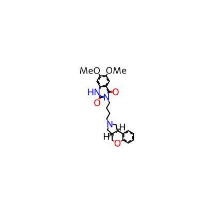 COc1cc2[nH]c(=O)n(CCCCN3C[C@@H]4COc5ccccc5[C@@H]4C3)c(=O)c2cc1OC